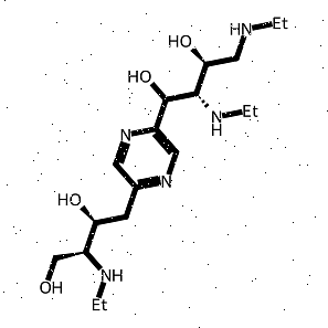 CCNC[C@H](O)[C@H](NCC)C(O)c1cnc(C[C@H](O)[C@H](CO)NCC)cn1